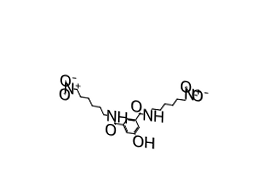 O=C(NCCCCCC[N+](=O)[O-])c1cc(O)cc(C(=O)NCCCCCC[N+](=O)[O-])c1